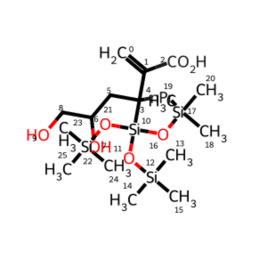 C=C(C(=O)O)C(CCC)(CC(O)CO)[Si](O[Si](C)(C)C)(O[Si](C)(C)C)O[Si](C)(C)C